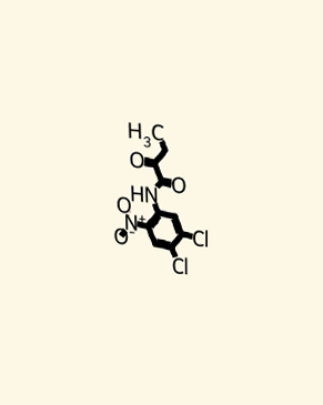 CCC(=O)C(=O)Nc1cc(Cl)c(Cl)cc1[N+](=O)[O-]